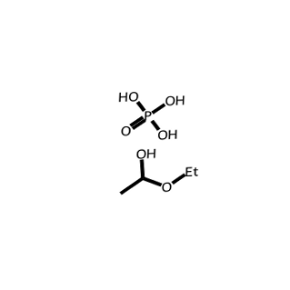 CCOC(C)O.O=P(O)(O)O